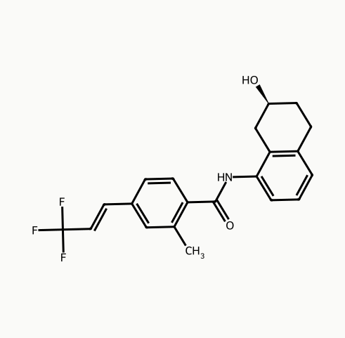 Cc1cc(/C=C/C(F)(F)F)ccc1C(=O)Nc1cccc2c1C[C@@H](O)CC2